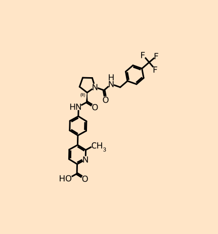 Cc1nc(C(=O)O)ccc1-c1ccc(NC(=O)[C@H]2CCCN2C(=O)NCc2ccc(C(F)(F)F)cc2)cc1